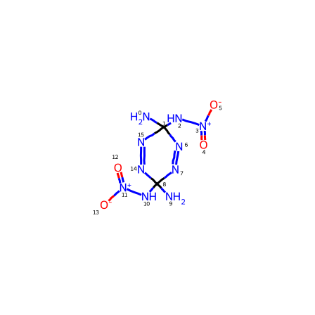 NC1(N[N+](=O)[O-])N=NC(N)(N[N+](=O)[O-])N=N1